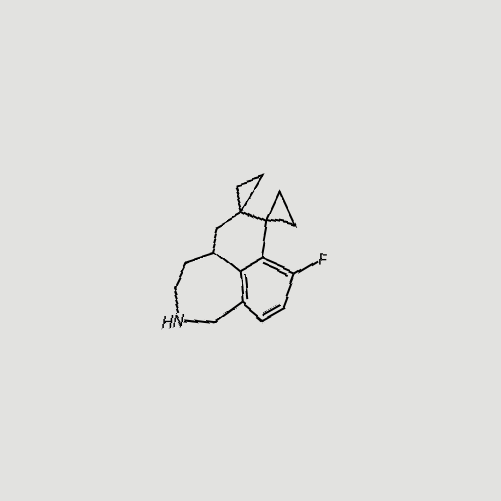 Fc1ccc2c3c1C1(CC1)C1(CC1)CC3CCNC2